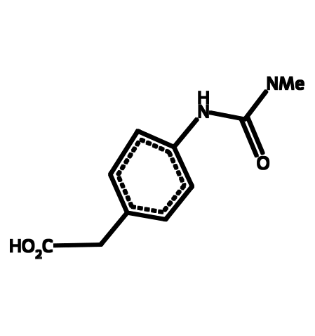 CNC(=O)Nc1ccc(CC(=O)O)cc1